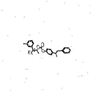 CCN(c1cccc(C)c1)C(C)OC(=O)Oc1ccc(C(C)Cc2ccccc2)cc1